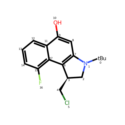 CC(C)(C)N1C[C@@H](CCl)c2c1cc(O)c1cccc(F)c21